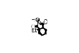 CCC12C=CCCC1C(=O)N(O)C2=O